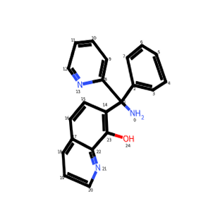 NC(c1ccccc1)(c1ccccn1)c1ccc2cccnc2c1O